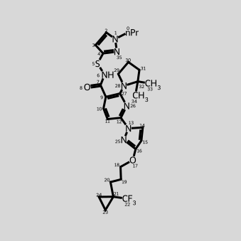 CCCn1ccc(SNC(=O)c2ccc(-n3ccc(OCCCC4(C(F)(F)F)CC4)n3)nc2N2CCCC2(C)C)n1